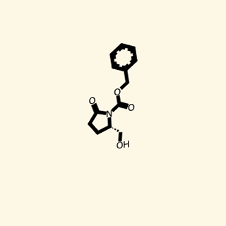 O=C1CC[C@@H](CO)N1C(=O)OCc1ccccc1